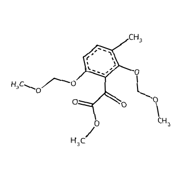 COCOc1ccc(C)c(OCOC)c1C(=O)C(=O)OC